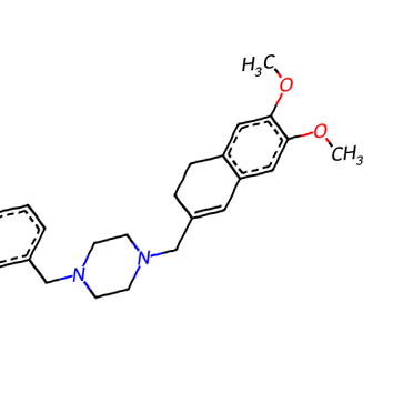 COc1cc2c(cc1OC)CCC(CN1CCN(Cc3ccccc3)CC1)=C2